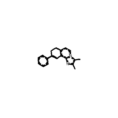 Cc1nc2c3c(ccn2c1C)CCC(c1ccccc1)=C3